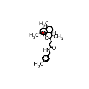 Cc1ccc(CNC(=O)CC[C@H]2O[C@@H]3O[C@]4(C)CC[C@H]5[C@H](C)CC[C@@H]([C@H]2C)[C@@]35OO4)cc1